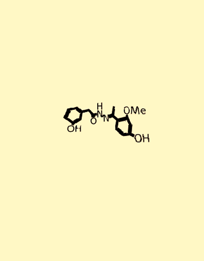 COc1cc(O)ccc1/C(C)=N/NC(=O)Cc1cccc(O)c1